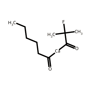 CCCCC[C](=O)[Ca][C](=O)C(C)(C)F